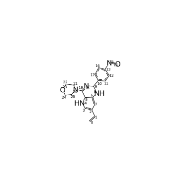 C=CC1=CNC2C(=C1)NC(c1ccc(N=O)cc1)N=C2N1CCOCC1